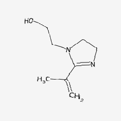 C=C(C)C1=NCCN1CCO